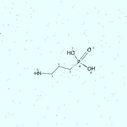 [NH]CCCP(=O)(O)O